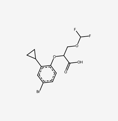 O=C(O)C(COC(F)F)Oc1ccc(Br)cc1C1CC1